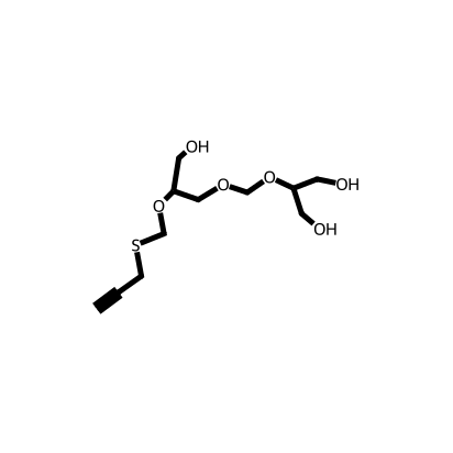 C#CCSCOC(CO)COCOC(CO)CO